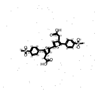 CS(=O)(=O)c1ccc(-c2sc(-c3cc(CC(=O)O)c(-c4ccc(S(C)(=O)=O)cc4)s3)cc2CC(=O)O)cc1